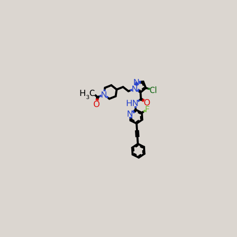 CC(=O)N1CCC(CCn2ncc(Cl)c2C(=O)Nc2ncc(C#Cc3ccccc3)cc2F)CC1